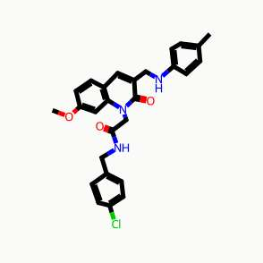 COc1ccc2cc(CNc3ccc(C)cc3)c(=O)n(CC(=O)NCc3ccc(Cl)cc3)c2c1